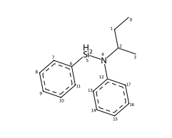 CCC(C)N([SiH2]c1ccccc1)c1ccccc1